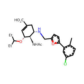 CCC(CC)O[C@@H]1C=C(C(=O)O)C[C@H](NCc2ccc(-c3cc(Cl)ccc3C)o2)[C@H]1NC(C)=O